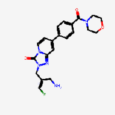 NC/C(=C\F)Cn1nc2cc(-c3ccc(C(=O)N4CCOCC4)cc3)ccn2c1=O